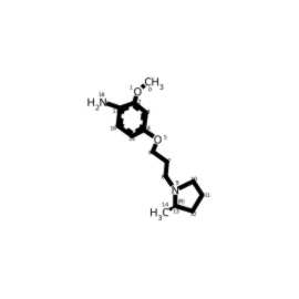 COc1cc(OCCCN2CCC[C@H]2C)ccc1N